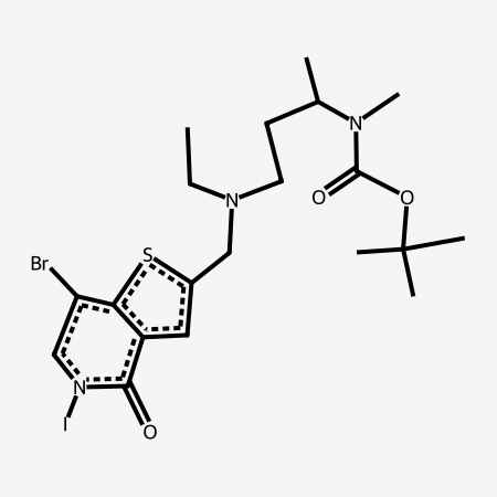 CCN(CCC(C)N(C)C(=O)OC(C)(C)C)Cc1cc2c(=O)n(I)cc(Br)c2s1